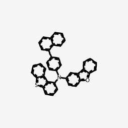 c1ccc2c(-c3ccc(N(c4ccc5oc6ccccc6c5c4)c4cccc5sc6ccccc6c45)cc3)cccc2c1